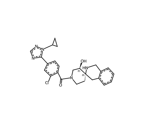 O=C(c1ccc(-c2ncnn2C2CC2)cc1Cl)N1CC[C@]2(Cc3ccccc3CN2)[C@H](O)C1